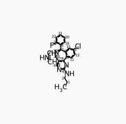 CCCNc1ncc2c(n1)-c1ccc(Cl)cc1C(c1ccccc1F)=NC2.CNC